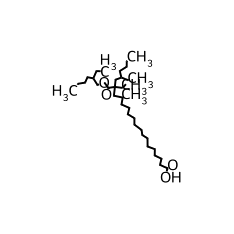 CCCCC(CC)COC(=O)C(CCCCCCCCCCCCCCCC(=O)O)(CC(CC)CCCC)C(C)C